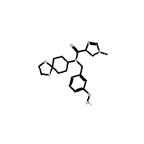 CN1C=NC(C(=O)N(Cc2cccc(OC(F)(F)F)c2)C2CCC3(CC2)OCCO3)C1